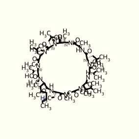 C/C=C/C[C@@H](C)[C@H](C)[C@@H]1C(=O)N[C@@H](CC)C(=O)N(C)CC(=O)N(C)[C@@H]([C@H](C)C(C)C)C(=O)N[C@@H](C(C)C)C(=O)N(C)[C@@H](CC(C)C)C(=O)N[C@@H](C)C(=O)N[C@@H](C)C(=O)N(C)[C@@H](CC(C)C)C(=O)N(C)[C@@H](CC(C)C)C(=O)N(C)[C@@H](C(C)O)C(=O)N1C